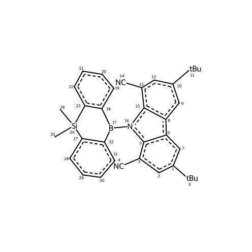 CC(C)(C)c1cc(C#N)c2c(c1)c1cc(C(C)(C)C)cc(C#N)c1n2B1c2ccccc2[Si](C)(C)c2ccccc21